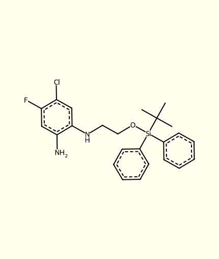 CC(C)(C)[Si](OCCNc1cc(Cl)c(F)cc1N)(c1ccccc1)c1ccccc1